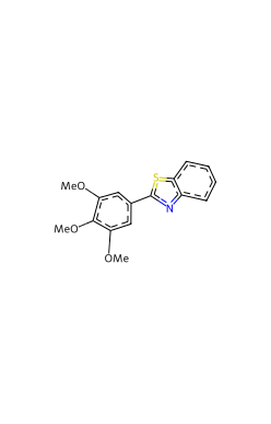 COc1cc(-c2nc3ccccc3s2)cc(OC)c1OC